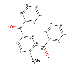 COc1ccc(C(=O)c2ccccc2)cc1C(=O)c1ccccc1